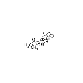 CC1(C)CC(=O)c2cc(S(=O)(=O)NC(=O)Nc3c4c(cc5c3CCC5)CCC4)oc2C1